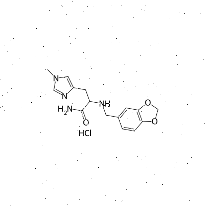 Cl.Cn1cnc(CC(NCc2ccc3c(c2)OCO3)C(N)=O)c1